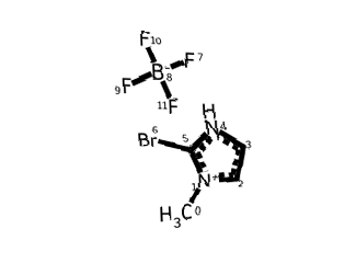 C[n+]1cc[nH]c1Br.F[B-](F)(F)F